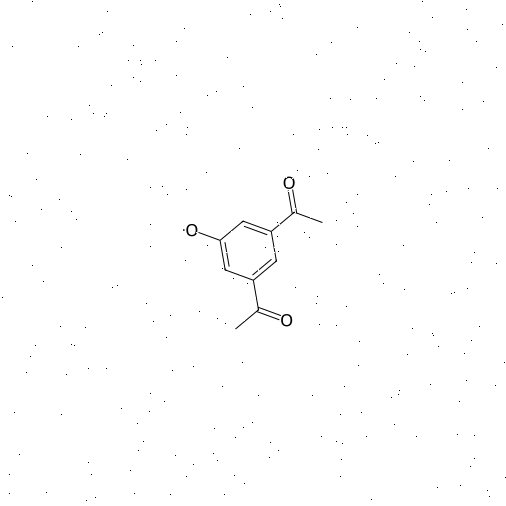 CC(=O)c1cc([O])cc(C(C)=O)c1